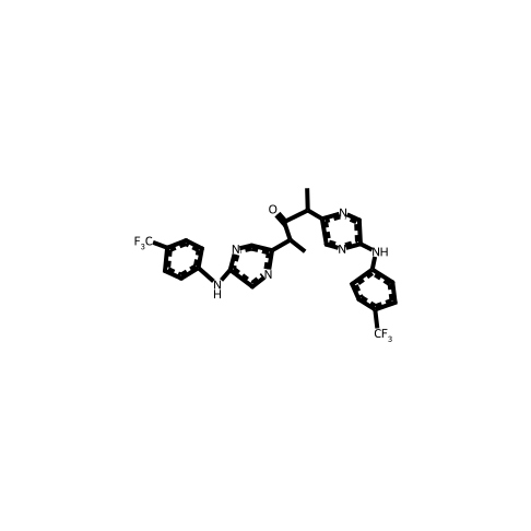 CC(C(=O)C(C)c1cnc(Nc2ccc(C(F)(F)F)cc2)cn1)c1cnc(Nc2ccc(C(F)(F)F)cc2)cn1